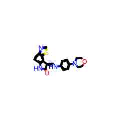 O=C1Nc2ccc3ncsc3c2/C1=C/Nc1ccc(N2CCOCC2)cc1